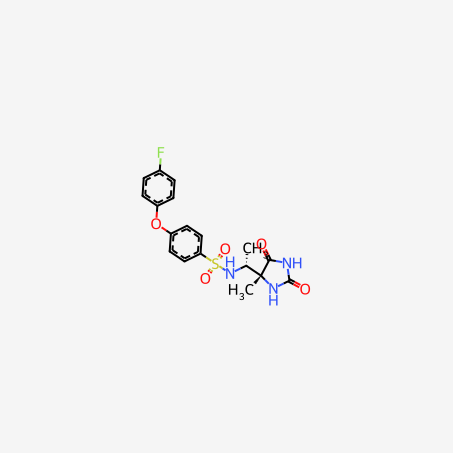 C[C@@H](NS(=O)(=O)c1ccc(Oc2ccc(F)cc2)cc1)[C@@]1(C)NC(=O)NC1=O